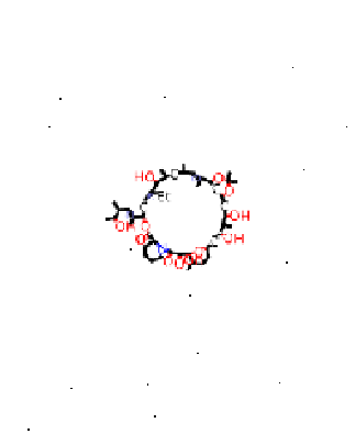 CC/C1=C\CC(/C(C)=C/C(C)C(C)O)OC(=O)C2CCCCN2C(=O)C(=O)C2(O)OC(CCC2C)CC(O)C(C)C(O)CC2CC(OC(C)(C)O2)/C(C)=C/C(C)CC(C)C1O